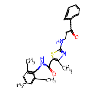 Cc1cc(C)c(NC(=O)c2sc(NCCC(=O)c3ccccc3)nc2C)c(C)c1